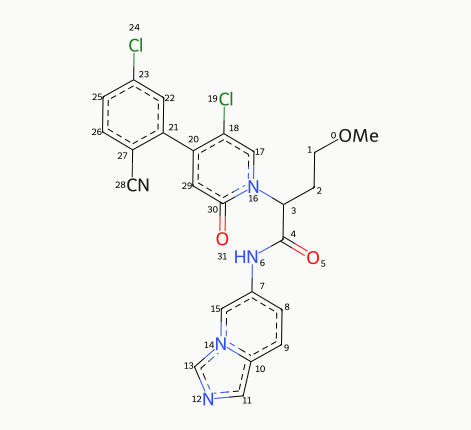 COCCC(C(=O)Nc1ccc2cncn2c1)n1cc(Cl)c(-c2cc(Cl)ccc2C#N)cc1=O